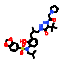 CC(C)CN(c1cccc(CC(C)CNC(=O)[C@H](NC(=O)CN2CCCC2)C(C)(C)C)c1O)S(=O)(=O)c1ccc2c(c1)OCO2